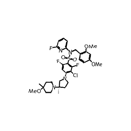 COc1ccc(CN(c2cccc(F)n2)S(=O)(=O)c2c(F)cc(N3CC[C@@](C)(N4CCC(C)(OC)CC4)C3)c(Cl)c2F)c(OC)c1